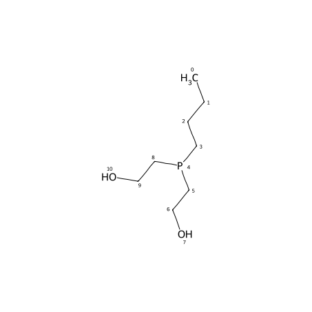 CCCCP(CCO)CCO